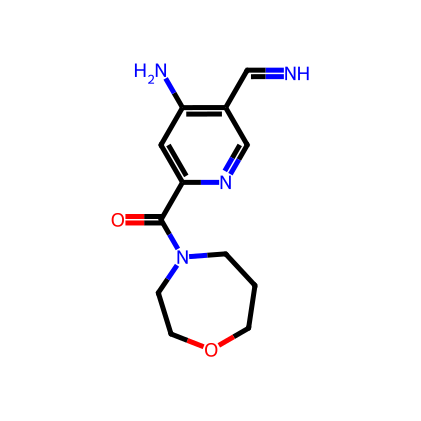 N=Cc1cnc(C(=O)N2CCCOCC2)cc1N